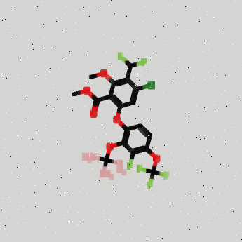 BC(B)(B)Oc1c(Oc2cc(Cl)c(C(F)F)c(OC)c2C(=O)OC)ccc(OC(F)(F)F)c1F